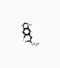 CCOC(=O)C(F)Cc1cc2c(cc1F)CCO2